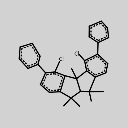 CC1(C)c2ccc(-c3ccccc3)c(Cl)c2C2(C)c3c(ccc(-c4ccccc4)c3Cl)C(C)(C)C12